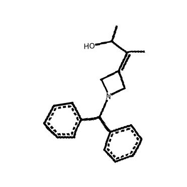 CC(=C1CN(C(c2ccccc2)c2ccccc2)C1)C(C)O